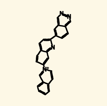 c1ccc2c[n+](-c3ccc4ccc(-c5ccc6cnncc6c5)nc4c3)ccc2c1